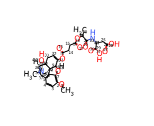 COc1ccc2c3c1O[C@@H]1C(OC(=O)CCC(=O)O[C@@H](C)C(=O)N[C@@H](CC(=O)O)C(=O)O)=CC[C@]4(O)[C@H](C2)N(C)CC[C@@]314